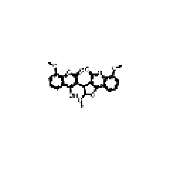 COc1cccc2c(O)c(C3c4c(c5cccc(OC)c5oc4=O)OC3OC)c(=O)oc12